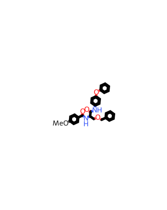 COc1ccc(C(=O)NC(COCc2ccccc2)C(=O)Nc2ccc(Oc3ccccc3)cc2)cc1